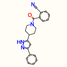 N#Cc1ccccc1C(=O)N1CCC(c2cc(-c3ccccc3)n[nH]2)CC1